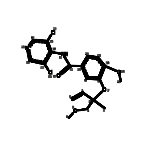 C=CC(C)(COC)Oc1cc(C(=O)Nc2c(Cl)cncc2Cl)ccc1OC